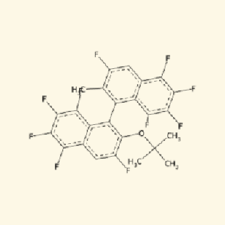 Cc1c(F)cc2c(F)c(F)c(F)c(F)c2c1-c1c(OC(C)(C)C)c(F)cc2c(F)c(F)c(F)c(F)c12